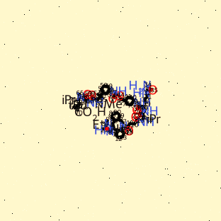 CCCCCCC(C)(CC)N(C)/C1=C(\N=N)c2ccccc2N(C(=O)CCC(=O)N[C@H](C(=O)N[C@@H](CCCNC(N)=O)C(=O)Nc2ccc(COC(=O)Nc3cccc(C(C)(C)[C@H](NC)C(=O)NC(C(=O)N(C)[C@H](/C=C(\C)C(=O)O)C(C)C)C(C)(C)C)c3)cc2)C(C)C)Cc2ccccc21